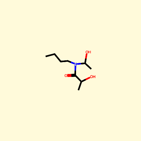 CCCCN(C(=O)C(C)O)C(C)O